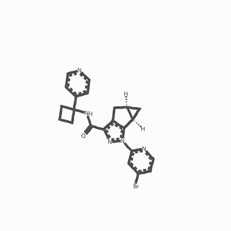 O=C(NC1(c2ccncc2)CCC1)c1nn(-c2cc(Br)ccn2)c2c1C[C@H]1C[C@@H]21